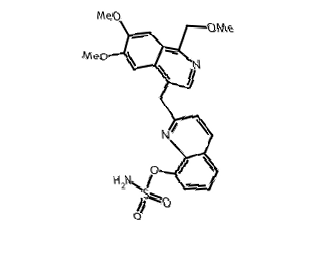 COCc1ncc(Cc2ccc3cccc(OS(N)(=O)=O)c3n2)c2cc(OC)c(OC)cc12